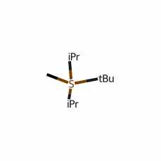 CC(C)S(C)(C(C)C)C(C)(C)C